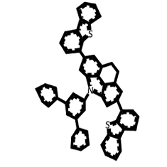 c1ccc(-c2cc(-c3ccccc3)cc(-n3c4cc(-c5cccc6c5sc5ccccc56)cc5c4c4c(cc(-c6cccc7c6sc6ccccc67)cc43)CC5)c2)cc1